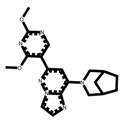 COc1ncc(-c2cc(N3CC4CCC(C4)C3)c3nccn3n2)c(OC)n1